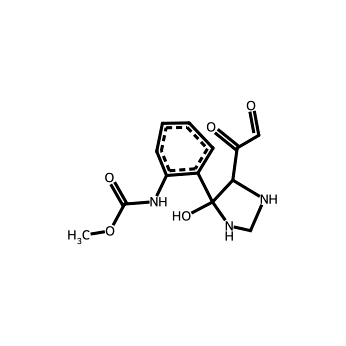 COC(=O)Nc1ccccc1C1(O)NCNC1C(=O)C=O